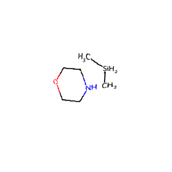 C1COCCN1.C[SiH2]C